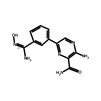 NC(=O)c1nc(-c2cccc(/C(N)=N\O)c2)cnc1N